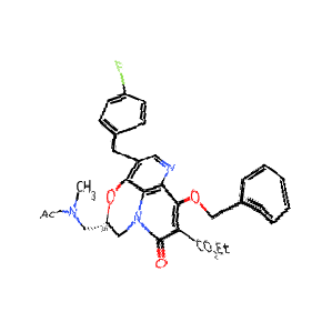 CCOC(=O)c1c(OCc2ccccc2)c2ncc(Cc3ccc(F)cc3)c3c2n(c1=O)C[C@H](CN(C)C(C)=O)O3